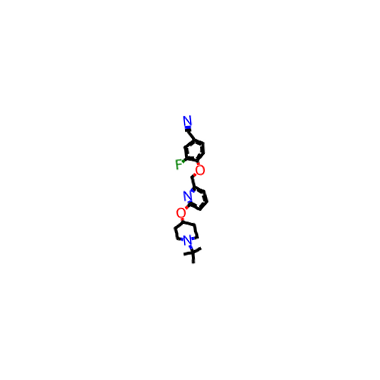 CC(C)(C)N1CCC(Oc2cccc(COc3ccc(C#N)cc3F)n2)CC1